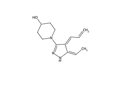 C=C/C=c1/c(N2CCC(O)CC2)n[nH]/c1=C/C